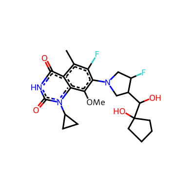 COc1c(N2CC(F)C(C(O)C3(O)CCCC3)C2)c(F)c(C)c2c(=O)[nH]c(=O)n(C3CC3)c12